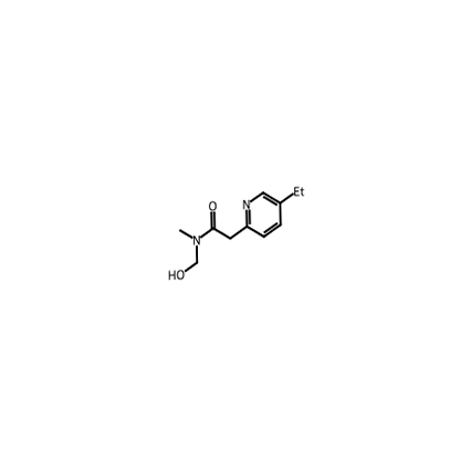 CCc1ccc(CC(=O)N(C)CO)nc1